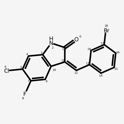 O=C1Nc2cc(Cl)c(F)cc2C1=Cc1cccc(Br)c1